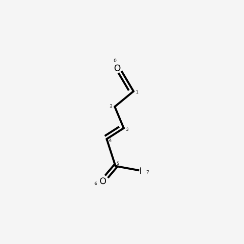 O=CC/C=C/C(=O)I